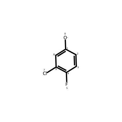 [O]c1ccc(F)c(Cl)c1